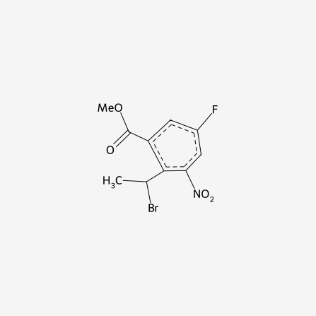 COC(=O)c1cc(F)cc([N+](=O)[O-])c1C(C)Br